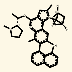 Cc1cc2c(nc(OC(C)[C@@H]3CCCN3C)c3cc(C)n([C@H]4[C@H]5CN[C@@H]4C5)c32)c(F)c1-c1cccc2cccc(C#N)c12